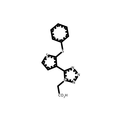 O=C(O)Cn1nnnc1-c1ccsc1Sc1ccccc1